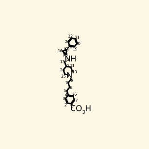 O=C(O)c1ccc(CCCCN2CCC(CN[C@@H]3C[C@H]3c3ccccc3)CC2)cc1